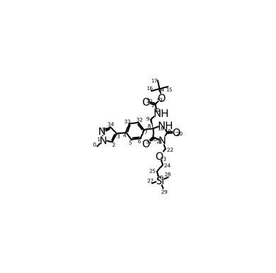 Cn1cc(-c2ccc([C@]3(CNC(=O)OC(C)(C)C)NC(=O)N(COCC[Si](C)(C)C)C3=O)cc2)cn1